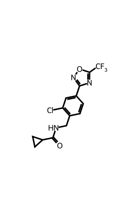 O=C(NCc1ccc(-c2noc(C(F)(F)F)n2)cc1Cl)C1CC1